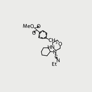 C1COCCN1.CCN=C=NC1CCCCC1.COS(=O)(=O)c1ccc(C)cc1